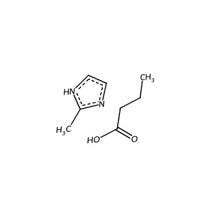 CCCC(=O)O.Cc1ncc[nH]1